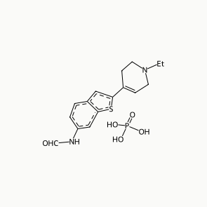 CCN1CC=C(c2cc3ccc(NC=O)cc3s2)CC1.O=P(O)(O)O